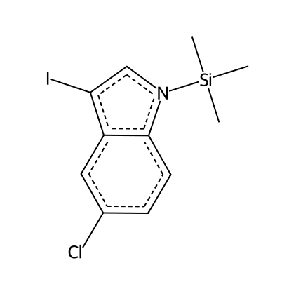 C[Si](C)(C)n1cc(I)c2cc(Cl)ccc21